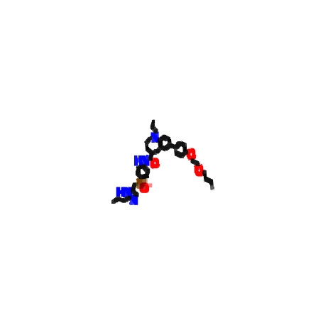 CCCCOCCOc1ccc(-c2ccc3c(c2)C=C(C(=O)Nc2ccc([S+]([O-])Cc4cnc(CCC)[nH]4)cc2)CCCN3CCC)cc1